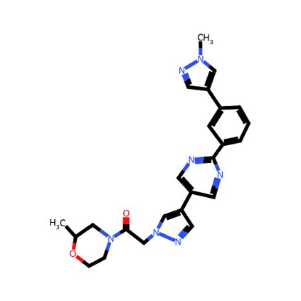 CC1CN(C(=O)Cn2cc(-c3cnc(-c4cccc(-c5cnn(C)c5)c4)nc3)cn2)CCO1